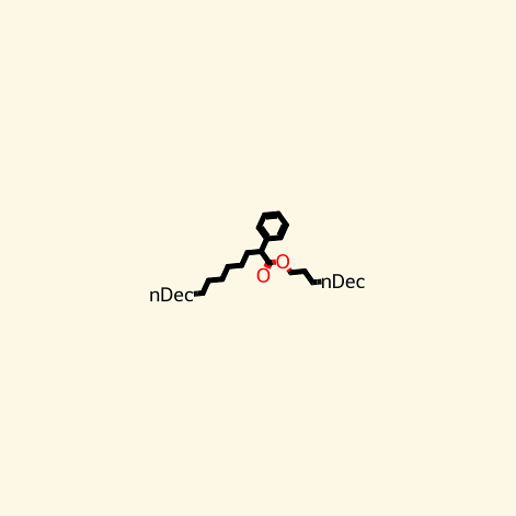 CCCCCCCCCCCCCCCCC(C(=O)OCCCCCCCCCCCCC)c1ccccc1